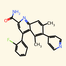 Cc1cc2nc(C(N)=O)cc(-c3ccccc3F)c2c(C)c1-c1ccncc1